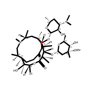 CC[C@H]1OC(=O)[C@H](C)[C@@H](O[C@H]2C[C@@](C)(OC)[C@@H](O)[C@H](C)O2)[C@H](C)[C@@H](O[C@@H]2O[C@H](C)C[C@H](N(C)C)[C@H]2O)[C@@]2(C)C[C@@H](C)N(C)C[C@H](C)[C@@H](CCC(=O)CO2)[C@]1(C)O